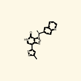 Cc1cc(-c2c[nH]c(=O)c3c2nnn3[C@@H](C)c2ccc3ncccc3c2)sn1